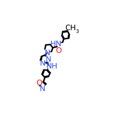 Cc1ccc(CNC(=O)C2CCCN(c3ccnc(Nc4ccc(-c5cnco5)cc4)n3)C2)cc1